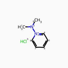 CN(C)[n+]1ccccc1.Cl